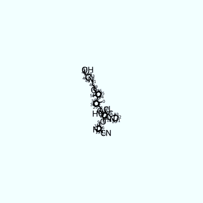 Cc1c(COc2cc(OCc3cncc(C#N)c3)c(CN3CCCC[C@H]3C(=O)O)cc2Cl)cccc1-c1cccc(OCCCN2CCC(CO)CC2)c1C